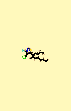 CCCCCCC(C)(CCCC)c1snc(F)c1Cl